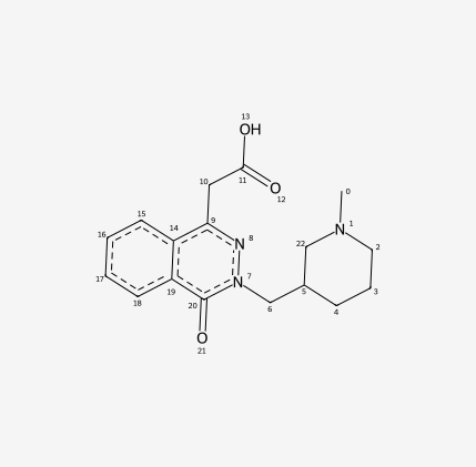 CN1CCCC(Cn2nc(CC(=O)O)c3ccccc3c2=O)C1